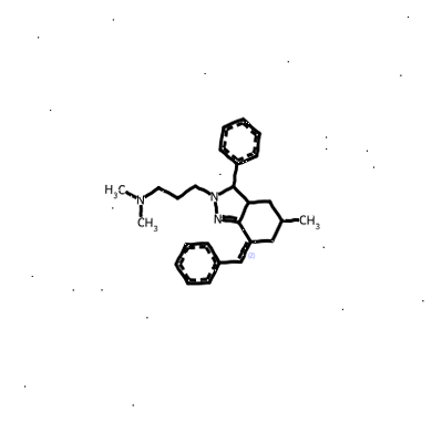 CC1C/C(=C/c2ccccc2)C2=NN(CCCN(C)C)C(c3ccccc3)C2C1